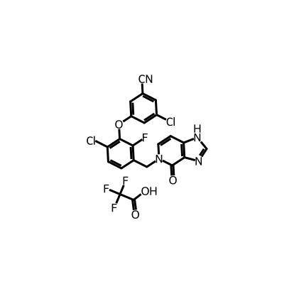 N#Cc1cc(Cl)cc(Oc2c(Cl)ccc(Cn3ccc4[nH]cnc4c3=O)c2F)c1.O=C(O)C(F)(F)F